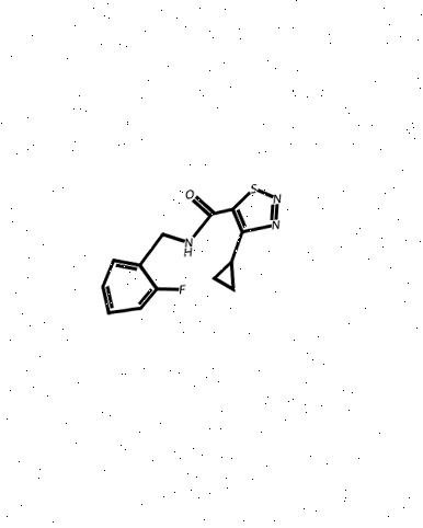 O=C(NCc1ccccc1F)c1snnc1C1CC1